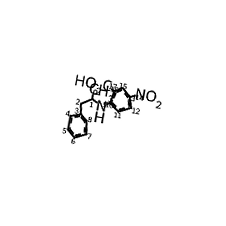 CC(Cc1ccccc1)Nc1ccc([N+](=O)[O-])cc1C(=O)O